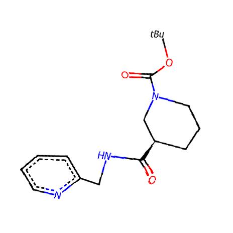 CC(C)(C)OC(=O)N1CCC[C@@H](C(=O)NCc2ccccn2)C1